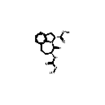 COC(=O)[C@@H]1Cc2cccc3c2N1C(=O)[C@@H](NC(=O)OC(C)(C)C)CC3